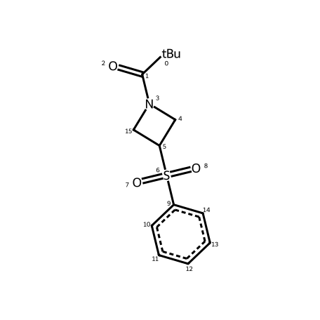 CC(C)(C)C(=O)N1CC(S(=O)(=O)c2ccccc2)C1